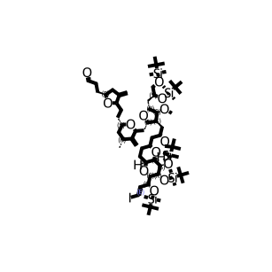 C=C1C[C@H](CCC=O)OC1CC[C@H]1C[C@@H](C)C(=C)C(C[C@@H]2O[C@H](C[C@@H](CO[Si](C)(C)C(C)(C)C)O[Si](C)(C)C(C)(C)C)[C@H](OC)[C@H]2CC(=O)CC2CC[C@@H]3O[C@@H]([C@H](/C=C/I)O[Si](C)(C)C(C)(C)C)[C@@H](O[Si](C)(C)C(C)(C)C)[C@@H](O[Si](C)(C)C(C)(C)C)[C@H]3O2)O1